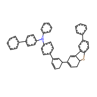 C1=CC(c2ccc(N(c3ccccc3)c3ccc(-c4ccccc4)cc3)cc2)=CC(C2=CCC3Sc4ccc(-c5ccccc5)cc4C3=C2)C1